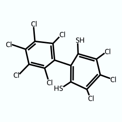 Sc1c(Cl)c(Cl)c(Cl)c(S)c1-c1c(Cl)c(Cl)c(Cl)c(Cl)c1Cl